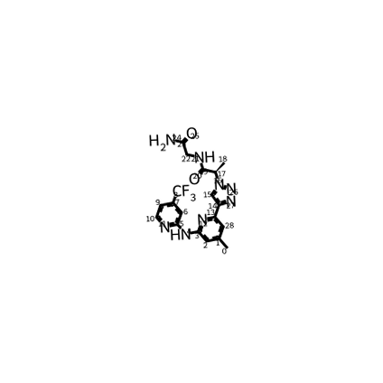 Cc1cc(Nc2cc(C(F)(F)F)ccn2)nc(-c2cn([C@H](C)C(=O)NCC(N)=O)nn2)c1